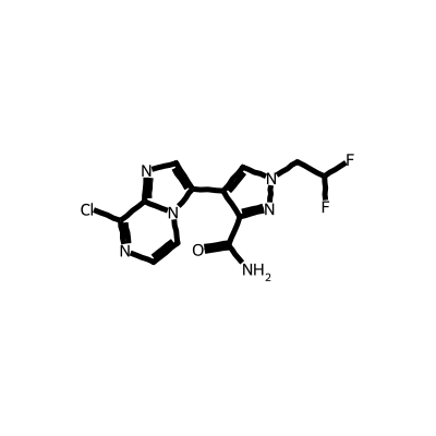 NC(=O)c1nn(CC(F)F)cc1-c1cnc2c(Cl)nccn12